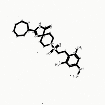 CNc1cc(C)c(CCS(=O)(=O)N2CCC3(CC2)N=C(C2CCCCCC2)NC3=O)c(C)c1